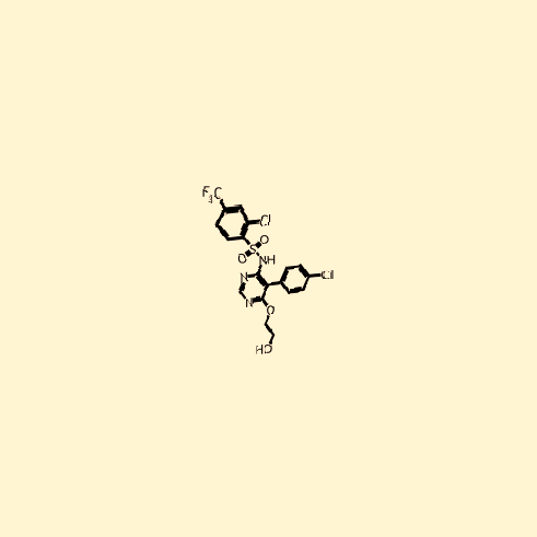 O=S(=O)(Nc1ncnc(OCCO)c1-c1ccc(Cl)cc1)c1ccc(C(F)(F)F)cc1Cl